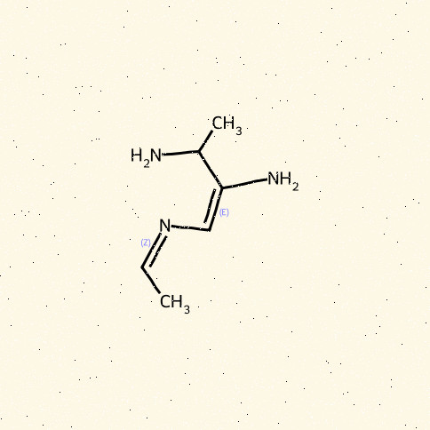 C/C=N\C=C(\N)C(C)N